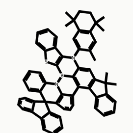 Cc1cc2c(cc1N1c3cc4c(c5c3B(c3sc6ccccc6c31)N1c3ccccc3C3(c6ccccc6-c6ccccc63)c3cccc-5c31)-c1ccccc1C4(C)C)C(C)(C)CCC2(C)C